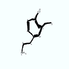 Cc1cc(CCN)ccc1Cl